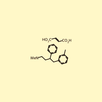 CNCCC(Cc1cccc(C)c1)c1ccccc1.O=C(O)C=CC(=O)O